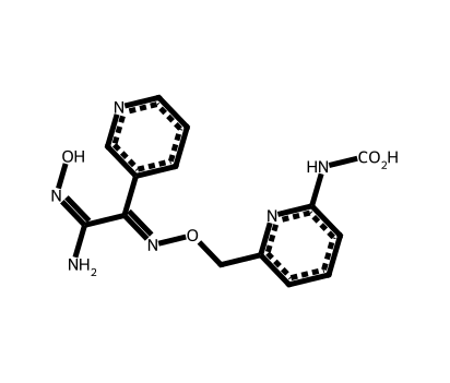 NC(=N/O)/C(=N/OCc1cccc(NC(=O)O)n1)c1cccnc1